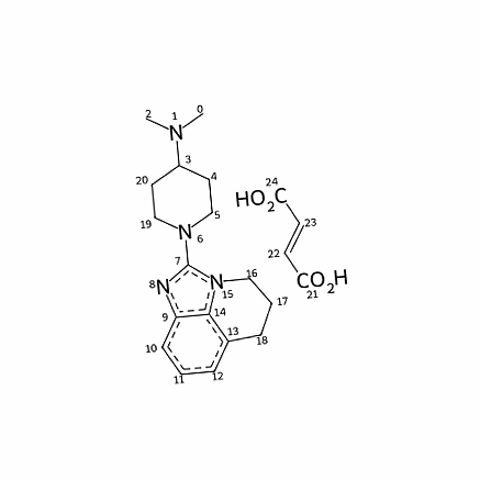 CN(C)C1CCN(c2nc3cccc4c3n2CCC4)CC1.O=C(O)C=CC(=O)O